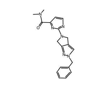 CN(C)C(=O)c1ccnc(N2Cc3cn(Cc4ccccc4)nc3C2)n1